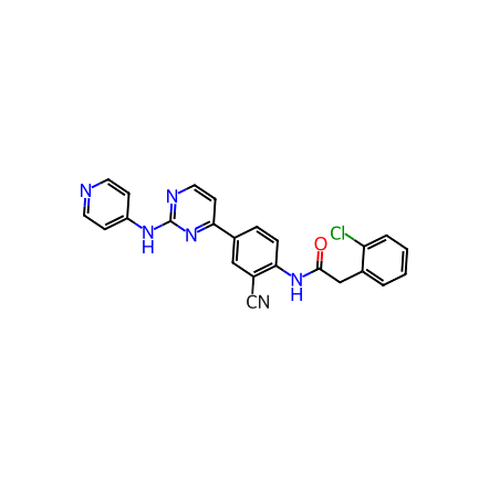 N#Cc1cc(-c2ccnc(Nc3ccncc3)n2)ccc1NC(=O)Cc1ccccc1Cl